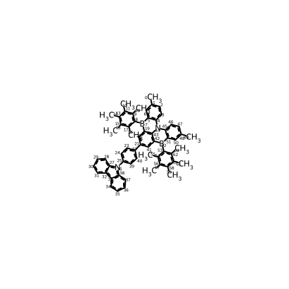 Cc1ccc2c(c1)B(c1c(C)c(C)c(C)c(C)c1C)c1cc(-c3ccc(-n4c5ccccc5c5ccccc54)cc3)cc3c1N2c1ccc(C)cc1B3c1c(C)c(C)c(C)c(C)c1C